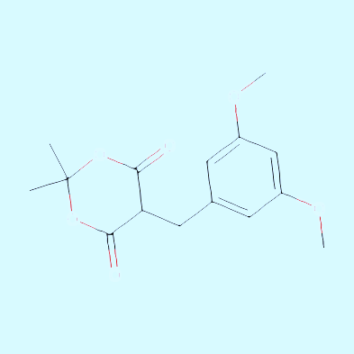 COc1cc(CC2C(=O)OC(C)(C)OC2=O)cc(OC)c1